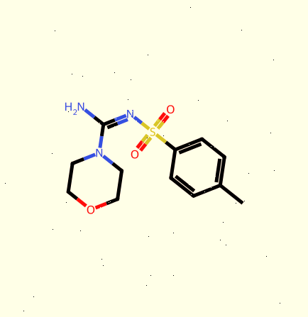 Cc1ccc(S(=O)(=O)N=C(N)N2CCOCC2)cc1